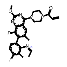 C=CC(=O)N1CCN(c2nc(OC)nc3c(F)c(-c4ccc(F)c(C)c4/N=C\C)c(C)cc23)CC1